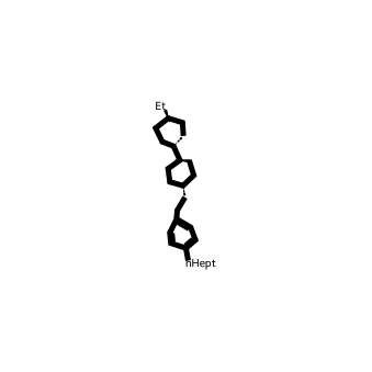 CCCCCCCc1ccc(CC[C@H]2CC[C@H]([C@H]3CC[C@H](CC)CC3)CC2)cc1